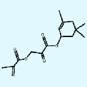 C=C(C)C(=O)OCC(=O)C(=O)OC1C=C(C)CC(C)(C)C1